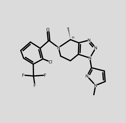 C[C@@H]1c2nnn(-c3ccn(C)n3)c2CCN1C(=O)c1cccc(C(F)(F)F)c1Cl